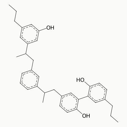 CCCc1cc(O)cc(C(C)Cc2cccc(C(C)Cc3ccc(O)c(-c4cc(CCC)ccc4O)c3)c2)c1